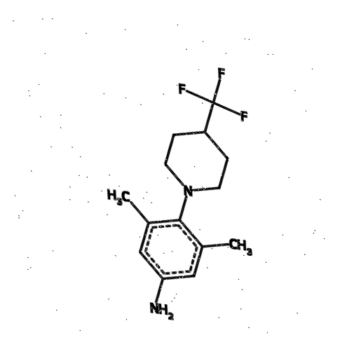 Cc1cc(N)cc(C)c1N1CCC(C(F)(F)F)CC1